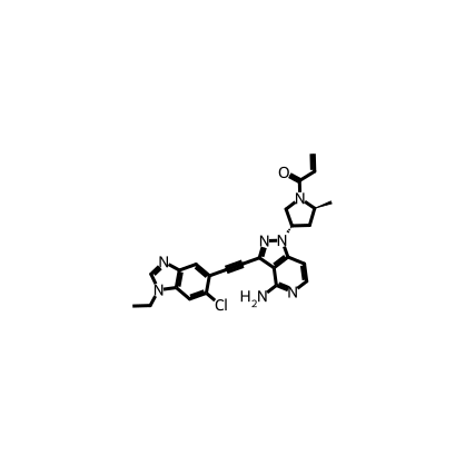 C=CC(=O)N1C[C@@H](n2nc(C#Cc3cc4ncn(CC)c4cc3Cl)c3c(N)nccc32)C[C@@H]1C